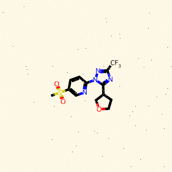 CS(=O)(=O)c1ccc(-n2nc(C(F)(F)F)nc2C2CCOC2)nc1